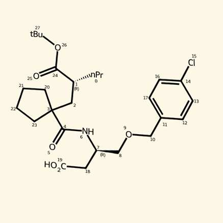 CCC[C@H](CC1(C(=O)N[C@@H](COCc2ccc(Cl)cc2)CC(=O)O)CCCC1)C(=O)OC(C)(C)C